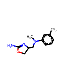 Cc1cccc(N(C)CC2COC(N)=N2)c1